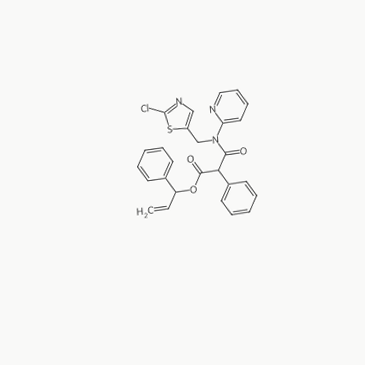 C=CC(OC(=O)C(C(=O)N(Cc1cnc(Cl)s1)c1ccccn1)c1ccccc1)c1ccccc1